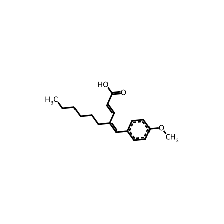 CCCCCCC(C=CC(=O)O)=Cc1ccc(OC)cc1